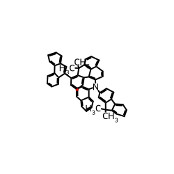 CC1(C)c2ccccc2-c2ccc(N(c3ccc4cccc5c4c3-c3cccc(-c4cc6ccccc6c6ccccc46)c3C5(C)C)c3cccc4ccccc34)cc21